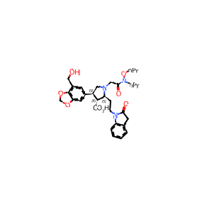 CCCON(CCC)C(=O)CN1C[C@H](c2cc(CO)c3c(c2)OCO3)[C@@H](C(=O)O)[C@@H]1CCN1C(=O)Cc2ccccc21